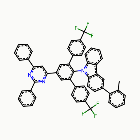 Cc1ccccc1-c1ccc2c(c1)c1ccccc1n2-c1c(-c2ccc(C(F)(F)F)cc2)cc(-c2cc(-c3ccccc3)nc(-c3ccccc3)n2)cc1-c1ccc(C(F)(F)F)cc1